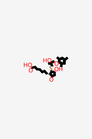 Cc1cc(C)c(OCC(C)(O)CS[C@H]2C(O)CC(=O)[C@@H]2CCCCCCC(=O)O)c(C)c1